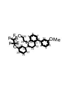 COc1cccc(-c2cccc3c2CC[C@H](C2C=C(OC(F)(F)C(F)F)C=CC2)N3CCC(F)(F)F)c1